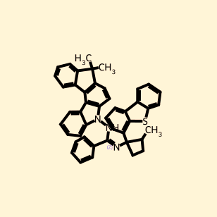 CC1CCC1(/N=C(\Nn1c2ccccc2c2c3c(ccc21)C(C)(C)c1ccccc1-3)c1ccccc1)c1cccc2c1sc1ccccc12